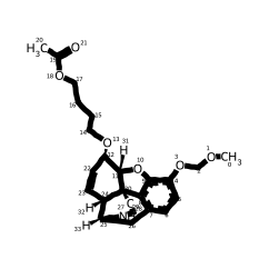 COCOc1ccc2c3c1O[C@H]1[C@@H](OCCCCOC(C)=O)C=C[C@H]4[C@@H](C2)NCC[C@@]341